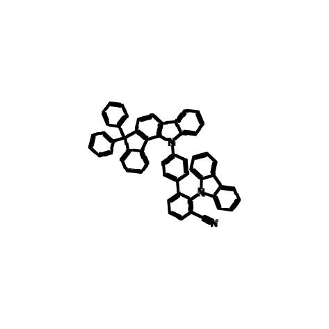 N#Cc1cccc(-c2ccc(-n3c4ccccc4c4ccc5c(c43)-c3ccccc3C5(c3ccccc3)c3ccccc3)cc2)c1-n1c2ccccc2c2ccccc21